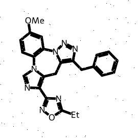 CCc1nc(-c2ncn3c2Cc2c(Cc4ccccc4)nnn2-c2cc(OC)ccc2-3)no1